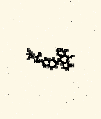 CCc1c(F)c(F)c2[nH]ncc2c1-c1ccc2nc(NC(=O)[C@@H]3C[C@@H]3F)sc2c1